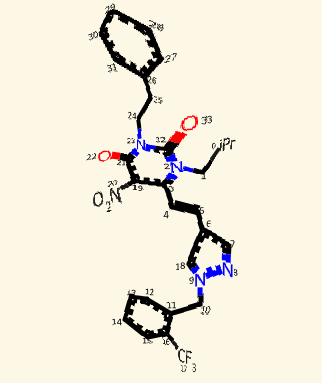 CC(C)Cn1c(/C=C/c2cnn(Cc3ccccc3C(F)(F)F)c2)c([N+](=O)[O-])c(=O)n(CCc2ccccc2)c1=O